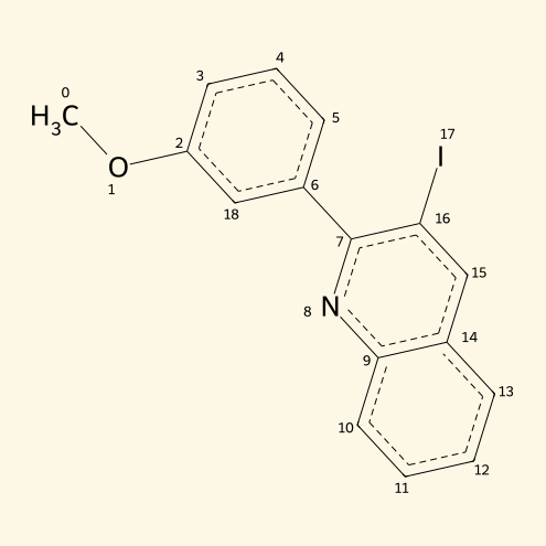 COc1cccc(-c2nc3ccccc3cc2I)c1